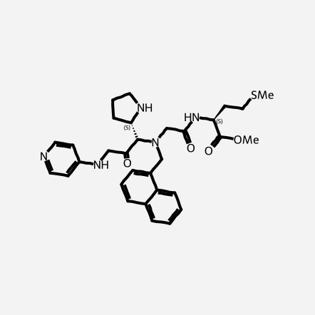 COC(=O)[C@H](CCSC)NC(=O)CN(Cc1cccc2ccccc12)C(C(=O)CNc1ccncc1)[C@@H]1CCCN1